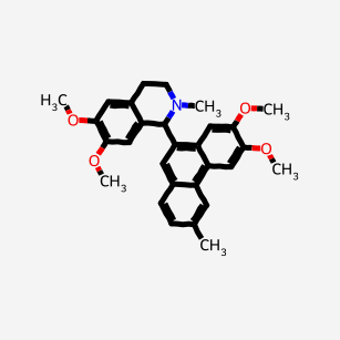 COc1cc2c(cc1OC)C(c1cc3ccc(C)cc3c3cc(OC)c(OC)cc13)N(C)CC2